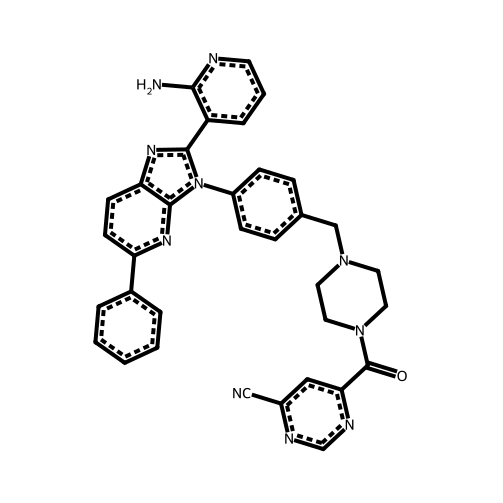 N#Cc1cc(C(=O)N2CCN(Cc3ccc(-n4c(-c5cccnc5N)nc5ccc(-c6ccccc6)nc54)cc3)CC2)ncn1